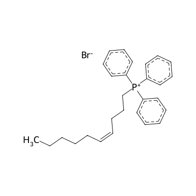 CCCCC/C=C\CCC[P+](c1ccccc1)(c1ccccc1)c1ccccc1.[Br-]